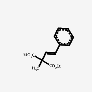 CCOC(=O)C(C)(/C=C/c1ccccc1)C(=O)OCC